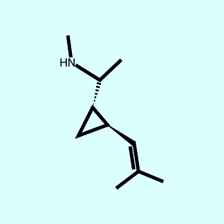 CNC(C)[C@H]1C[C@@H]1C=C(C)C